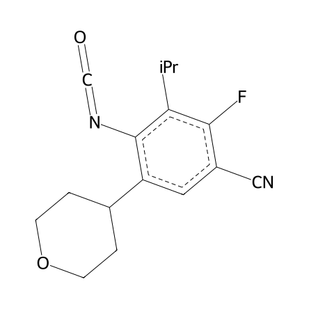 CC(C)c1c(F)c(C#N)cc(C2CCOCC2)c1N=C=O